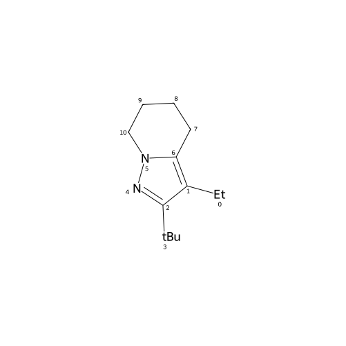 CCc1c(C(C)(C)C)nn2c1CCCC2